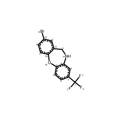 FC(F)(F)c1ccc2c(c1)NCc1cc(Br)ccc1O2